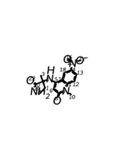 CCC(C)(Nc1cc(=O)n(C)c2ccc([N+](=O)[O-])cc12)C(N)=O